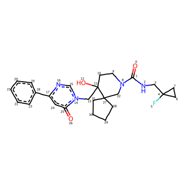 O=C(NCC1(F)CC1)N1CCC(O)(Cn2cnc(-c3ccccc3)cc2=O)C2(CCCC2)C1